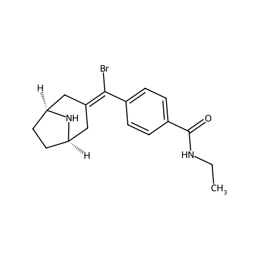 CCNC(=O)c1ccc(C(Br)=C2C[C@H]3CC[C@@H](C2)N3)cc1